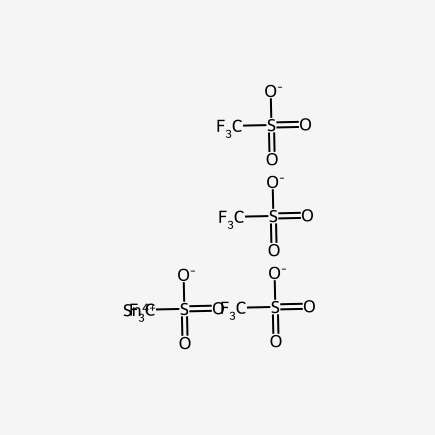 O=S(=O)([O-])C(F)(F)F.O=S(=O)([O-])C(F)(F)F.O=S(=O)([O-])C(F)(F)F.O=S(=O)([O-])C(F)(F)F.[Sn+4]